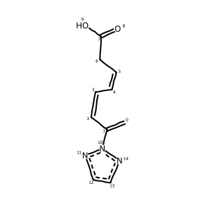 C=C(/C=C\C=C/CC(=O)O)n1nccn1